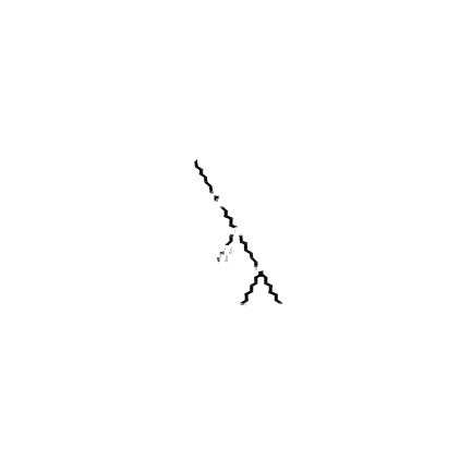 CCCCCCCCCOC(=O)OCCCCCCN(CCCCCCCC(=O)OC(CCCCCCCC)CCCCCCCC)CCCNC(=O)NC